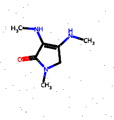 CNC1=C(NC)C(=O)N(C)C1